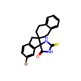 O=C1NC(=S)NC12c1cc(Br)ccc1CC21CCc2ccccc2CC1